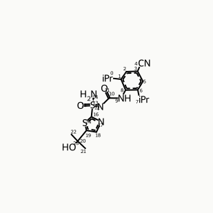 CC(C)c1cc(C#N)cc(C(C)C)c1NC(=O)N=[S@@](N)(=O)c1ncc(C(C)(C)O)s1